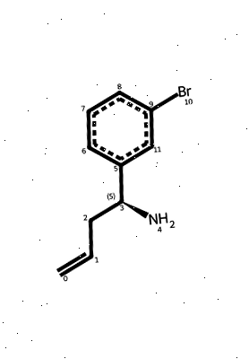 C=CC[C@H](N)c1cccc(Br)c1